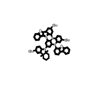 CC(C)(C)c1ccc2c(c1)N(c1cccc3c1oc1ccccc13)c1cc(N3c4ccc(C(C)(C)C)cc4C4(C)CCCCC34C)cc3c1B2c1cc(C(C)(C)C)cc2c4oc5ccccc5c4n-3c12